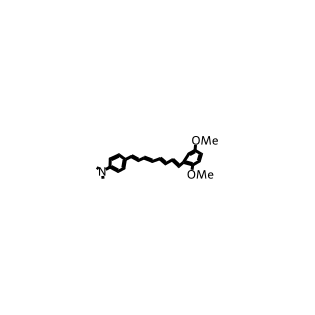 COc1ccc(OC)c(C=CC=CC=CC=Cc2ccc(N(C)C)cc2)c1